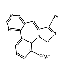 CCOC(=O)c1cccc2c1N1CN=C(C(C)C)C1=Cc1cncnc1-2